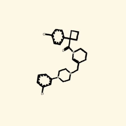 O=C(N1C=C(CN2CCN(c3cccc(Cl)c3)CC2)CCC1)C1(c2ccc(Cl)cc2)CCC1